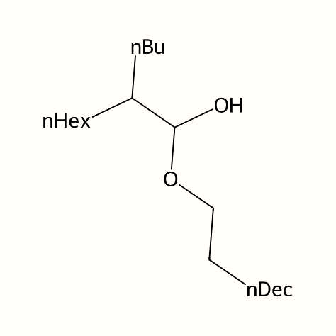 CCCCCCCCCCCCOC(O)C(CCCC)CCCCCC